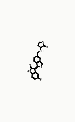 O=C1Nc2ccc(F)cc2C1=C1OCc2cc(CNC3CCOC3=O)ccc21